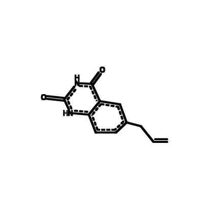 C=CCc1ccc2[nH]c(=O)[nH]c(=O)c2c1